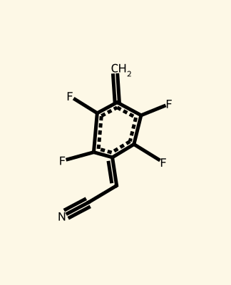 C=c1c(F)c(F)c(=CC#N)c(F)c1F